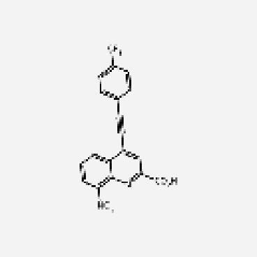 O=C(O)c1cc(C#Cc2ccc(C(F)(F)F)cc2)c2cccc([N+](=O)[O-])c2n1